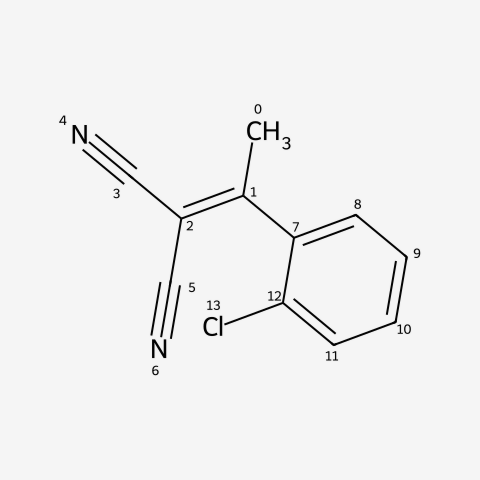 CC(=C(C#N)C#N)c1ccccc1Cl